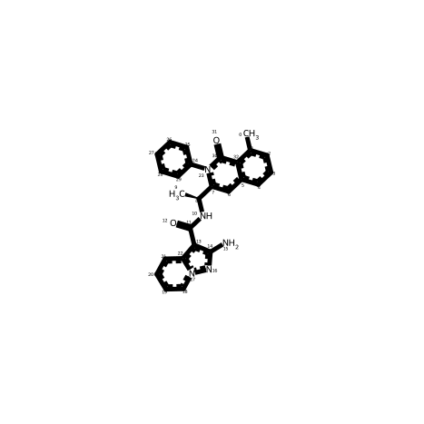 Cc1cccc2cc([C@H](C)NC(=O)c3c(N)nn4ccccc34)n(-c3ccccc3)c(=O)c12